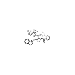 CN(C(=O)OC(C)(C)C)C1=C(/C=[N+]2\CCc3ccccc32)CC/C1=C\Nc1ccccc1CCI